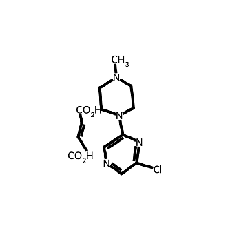 CN1CCN(c2cncc(Cl)n2)CC1.O=C(O)/C=C/C(=O)O